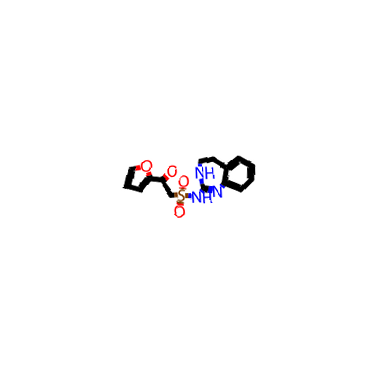 O=C(CS(=O)(=O)NC1=Nc2ccccc2CCN1)c1ccco1